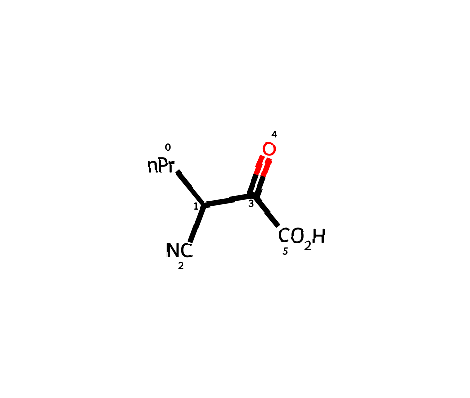 CCCC(C#N)C(=O)C(=O)O